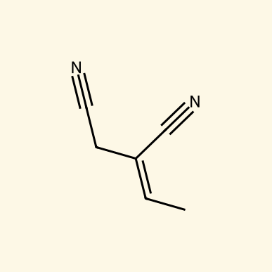 C/C=C(\C#N)CC#N